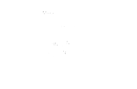 COCCOC[C@H](Cc1ccc(C)cc1)n1c(=N)n(C(c2ccc(C)cc2)C2CC2)c2ccccc21